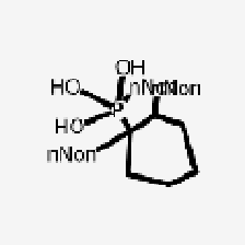 CCCCCCCCCC1CCCCC1(CCCCCCCCC)P(O)(O)(O)CCCCCCCCC